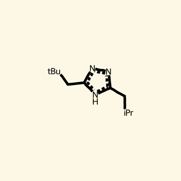 CC(C)Cc1nnc(CC(C)(C)C)[nH]1